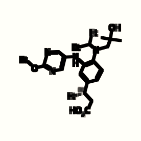 CCOc1ncc(Nc2cc([C@@H](CC)CC(=O)O)ccc2N(CC(C)(C)O)C(CC)CC)cn1